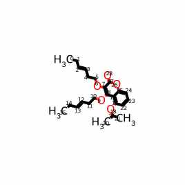 CCC=CCCOc1c(OCCC=CCC)c2c(OC(C)C)cccc2oc1=O